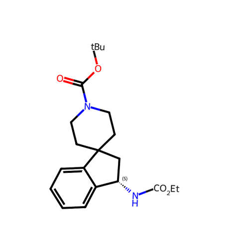 CCOC(=O)N[C@H]1CC2(CCN(C(=O)OC(C)(C)C)CC2)c2ccccc21